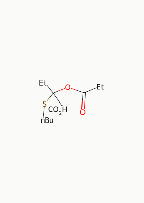 CCCCSC(CC)(OC(=O)CC)C(=O)O